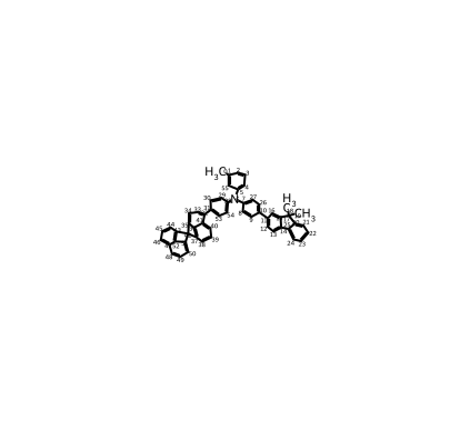 Cc1cccc(N(c2ccc(-c3ccc4c(c3)C(C)(C)c3ccccc3-4)cc2)c2ccc(-c3ccc4c5c(cccc35)C43c4cccc5cccc3c45)cc2)c1